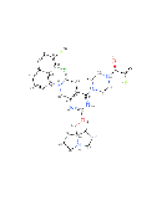 C=C(F)C(=O)N1CCN(c2nc(OCC34CCCN3CCC4)nc3c2CCN(c2cccc4ccc(F)c(Cl)c24)C3)CC1